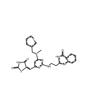 CN(Cc1ccccc1)c1cc(/C=C2/SC(=O)NC2=O)nc(NCCc2nc3ccccc3c(=O)[nH]2)n1